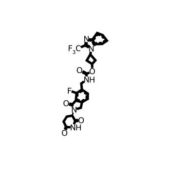 O=C1CC[C@@H](N2Cc3ccc(CNC(=O)OC4CC(n5c(C(F)(F)F)nc6ccccc65)C4)c(F)c3C2=O)C(=O)N1